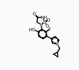 O=C1CN(c2c(O)ccc(-c3ccn(CC4CC4)c3)c2F)S(=O)(=O)N1